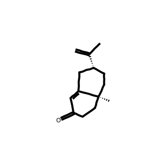 C=C(C)[C@@H]1CC[C@@]2(C)CCC(=O)C=C2C1